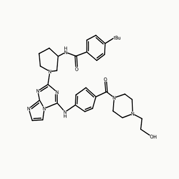 CC(C)(C)c1ccc(C(=O)NC2CCCN(c3nc(Nc4ccc(C(=O)N5CCN(CCO)CC5)cc4)n4ccnc4n3)C2)cc1